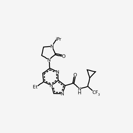 CCc1cc(N2CCN(C(C)C)C2=O)nc2c(C(=O)NC(C3CC3)C(F)(F)F)ncn12